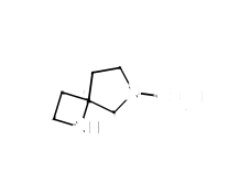 O=C(O)N1CCC2(CCN2)C1